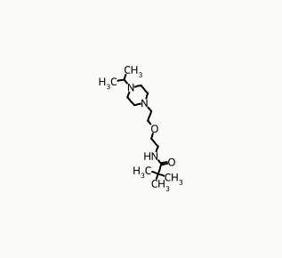 CC(C)N1CCN(CCOCCNC(=O)C(C)(C)C)CC1